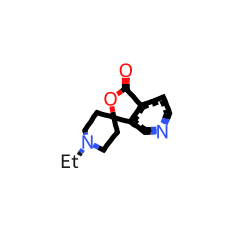 CCN1CCC2(CC1)OC(=O)c1ccncc12